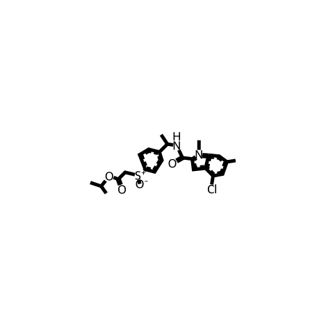 Cc1cc(Cl)c2cc(C(=O)NC(C)c3ccc([S+]([O-])CC(=O)OC(C)C)cc3)n(C)c2c1